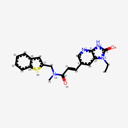 CCn1c(=O)[nH]c2ncc(C=CC(=O)N(C)Cc3cc4ccccc4s3)cc21